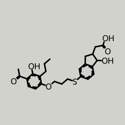 CCCc1c(OCCCSc2ccc3c(c2)CC(CC(=O)O)C3O)ccc(C(C)=O)c1O